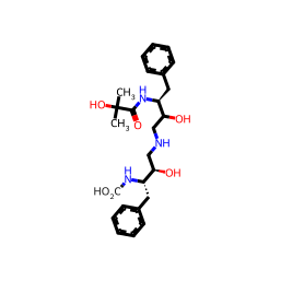 CC(C)(O)C(=O)N[C@@H](Cc1ccccc1)C(O)CNC[C@@H](O)[C@H](Cc1ccccc1)NC(=O)O